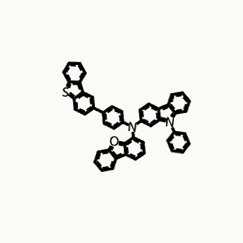 c1ccc(-n2c3ccccc3c3ccc(N(c4ccc(-c5ccc6sc7ccccc7c6c5)cc4)c4cccc5c4oc4ccccc45)cc32)cc1